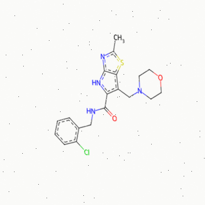 Cc1nc2[nH]c(C(=O)NCc3ccccc3Cl)c(CN3CCOCC3)c2s1